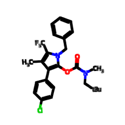 Cc1c(-c2ccc(Cl)cc2)c(OC(=O)N(C)CC(C)(C)C)n(Cc2ccccc2)c1C(F)(F)F